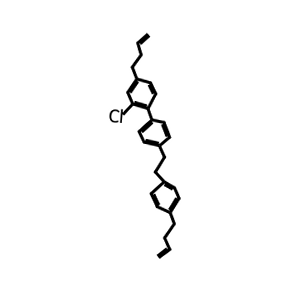 C=CCCc1ccc(CCc2ccc(-c3ccc(CCC=C)cc3Cl)cc2)cc1